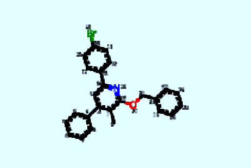 Cc1c(-c2ccccc2)cc(-c2ccc(Br)cc2)nc1OCc1ccccc1